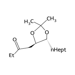 CCCCCCC[C@H]1OC(C)(C)O[C@@H]1CC(=O)CC